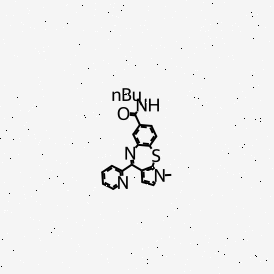 CCCCNC(=O)c1ccc2c(c1)N=C(c1ccccn1)c1ccn(C)c1S2